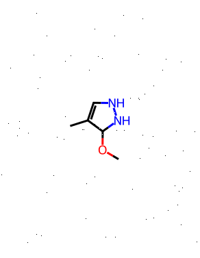 COC1NNC=C1C